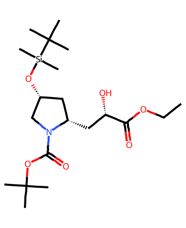 CCOC(=O)[C@@H](O)C[C@H]1C[C@@H](O[Si](C)(C)C(C)(C)C)CN1C(=O)OC(C)(C)C